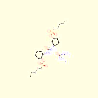 CCCCCS(=O)(=O)Oc1cccc(NC(=O)Nc2ccccc2OS(=O)(=O)CCCCC)c1.NC(N)=O